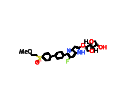 COCC[S+]([O-])c1ccc(-c2ccc(-c3nc4cc(O[C@@H]5CO[C@H]6[C@@H]5OC[C@H]6O)[nH]c4cc3F)cc2)cc1